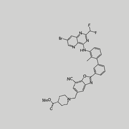 COC(=O)C1CCN(Cc2cc(C#N)c3oc(-c4cccc(-c5cccc(Nc6nc(C(F)F)nc7cc(Br)cnc67)c5C)c4)nc3c2)CC1